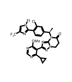 CCn1cc(C(F)(F)F)nc1-c1ccc([C@@H](C)N2C(=O)CCn3nc(-c4c(OC)ncnc4C4CC4)nc32)cc1Cl